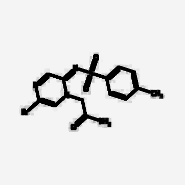 Cc1ccc(S(=O)(=O)/N=c2/cnc(Br)cn2CC(N)=O)cc1